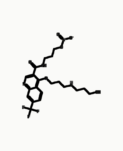 O=C(NCCCO[N+](=O)[O-])c1cnc2cc(C(F)(F)F)ccc2c1OCCCNCCCO